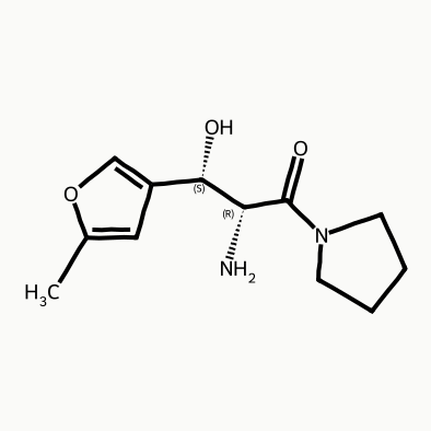 Cc1cc([C@H](O)[C@@H](N)C(=O)N2CCCC2)co1